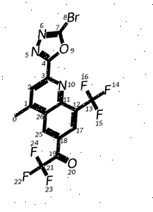 Cc1cc(-c2nnc(Br)o2)nc2c(C(F)(F)F)cc(C(=O)C(F)(F)F)cc12